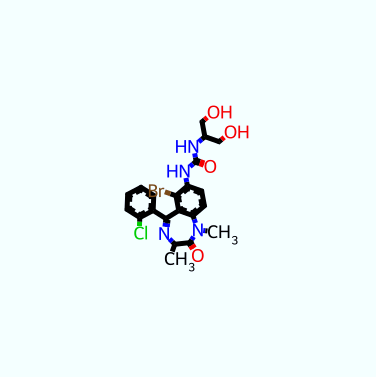 CC1N=C(c2ccccc2Cl)c2c(ccc(NC(=O)NC(CO)CO)c2Br)N(C)C1=O